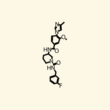 COc1cc(C(=O)NC2CCCN(C(=O)NCc3cccc(F)c3)C2)ccc1-n1cnc(C)c1